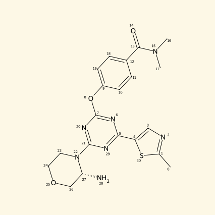 Cc1ncc(-c2nc(Oc3ccc(C(=O)N(C)C)cc3)nc(N3CCOC[C@H]3N)n2)s1